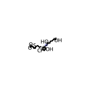 COC(=O)c1ccc(CCC[C@@H]2[C@@H](/C=C/[C@H](O)CCCC[C@@H](C)O)[C@H](O)C[C@H]2Cl)s1